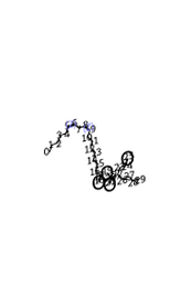 CCCCC/C=C\C/C=C\CCCCCCCC(=O)OC(=O)C(CC=O)CCCC